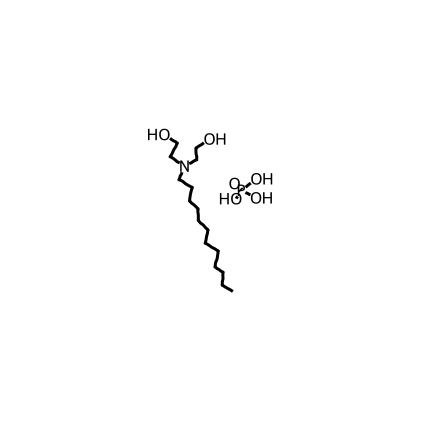 CCCCCCCCCCCCN(CCO)CCO.O=P(O)(O)O